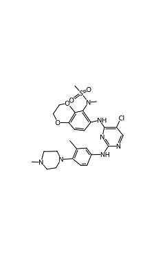 Cc1cc(Nc2ncc(Cl)c(Nc3ccc4c(c3N(C)S(C)(=O)=O)OCCO4)n2)ccc1N1CCN(C)CC1